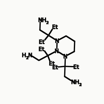 CCC(CC)(CN)N1CCCN(C(CC)(CC)CN)N1C(CC)(CC)CN